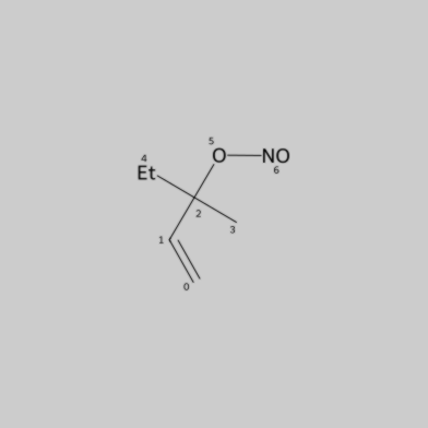 C=CC(C)(CC)ON=O